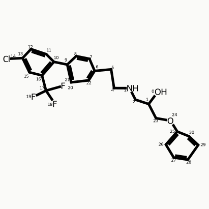 OC(CNCCc1ccc(-c2ccc(Cl)cc2C(F)(F)F)cc1)COc1ccccc1